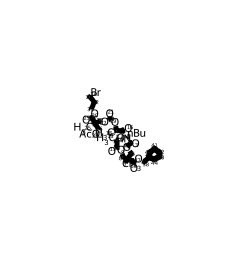 CCCCNC(=O)OCC(C)(COC(=O)C(C)OC(=O)C(C)OC(=O)OCC(C)(COC(C)=O)C(=O)OCCCBr)C(=O)OCc1ccccc1